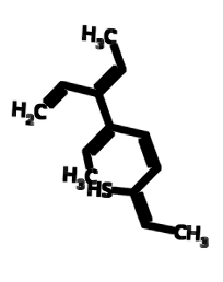 C=CC(=C\C)/C(/C=C\C(S)=C/C)=C/C